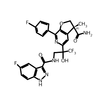 C[C@]1(C(N)=O)COc2c1cc(C(O)(CNC(=O)c1n[nH]c3ccc(F)cc13)C(F)(F)F)nc2-c1ccc(F)cc1